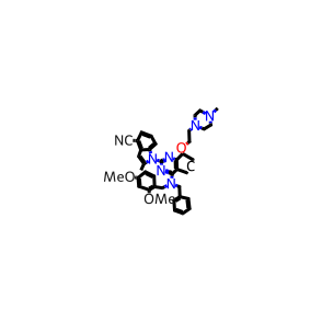 COc1ccc(CN(Cc2ccccc2)c2nc(-n3c(C)cc4c(C#N)cccc43)nc3c2CCCC3OCCN2CCN(C)CC2)c(OC)c1